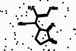 CCCCCCC=C(C)C(CCCCCCCCCC)N1CCC(=O)C1=O